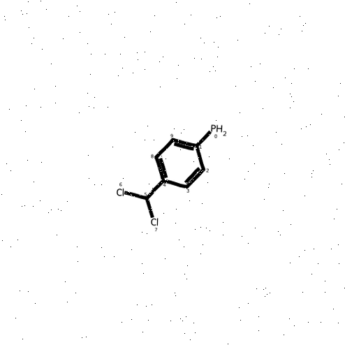 Pc1ccc(C(Cl)Cl)cc1